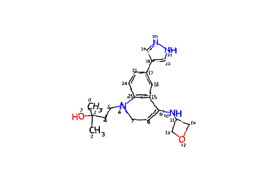 CC(C)(O)CCN1CC=C(NC2COC2)c2cc(-c3cn[nH]c3)ccc21